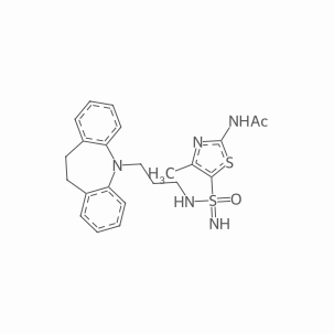 CC(=O)Nc1nc(C)c(S(=N)(=O)NCCCN2c3ccccc3CCc3ccccc32)s1